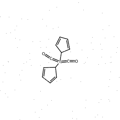 O=[C]=[Ti](=[C]=O)([CH]1C=CC=C1)[CH]1C=CC=C1